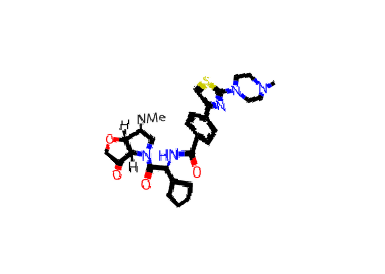 CN[C@H]1CN(C(=O)[C@@H](NC(=O)c2ccc(-c3csc(N4CCN(C)CC4)n3)cc2)C2CCCC2)[C@@H]2C(=O)CO[C@H]12